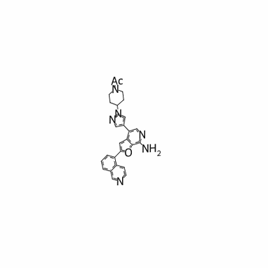 CC(=O)N1CCC(n2cc(-c3cnc(N)c4oc(-c5cccc6cnccc56)cc34)cn2)CC1